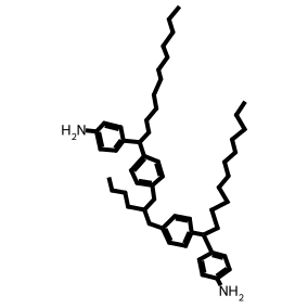 CCCCCCCCCCCC(c1ccc(N)cc1)c1ccc(CC(CCCC)Cc2ccc(C(CCCCCCCCCCC)c3ccc(N)cc3)cc2)cc1